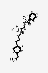 Cl.Cl.NCc1ccc(CCCNCCNS(=O)(=O)c2ccccc2)cc1